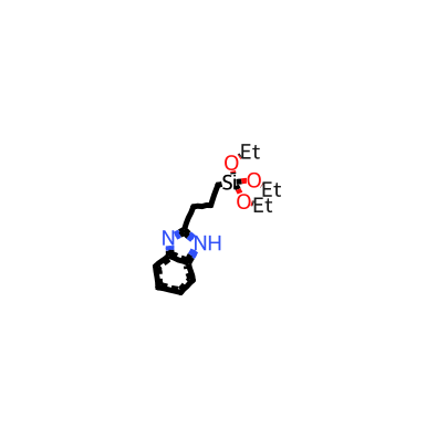 CCO[Si](CCCc1nc2ccccc2[nH]1)(OCC)OCC